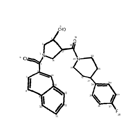 O=CC1CN(C(=O)c2ccc3ccccc3c2)CC1C(=O)N1CCC(c2ccc(F)cc2)CC1